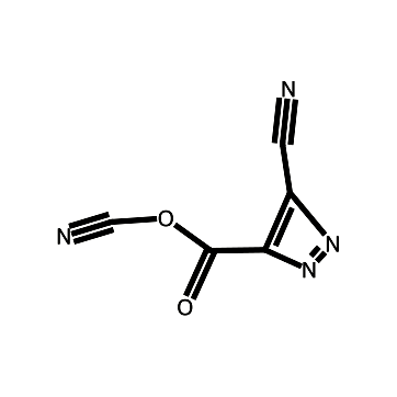 N#COC(=O)C1=C(C#N)N=N1